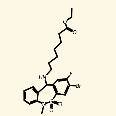 CCOC(=O)CCCCCCNC1c2ccccc2N(C)S(=O)(=O)c2cc(Br)c(F)cc21